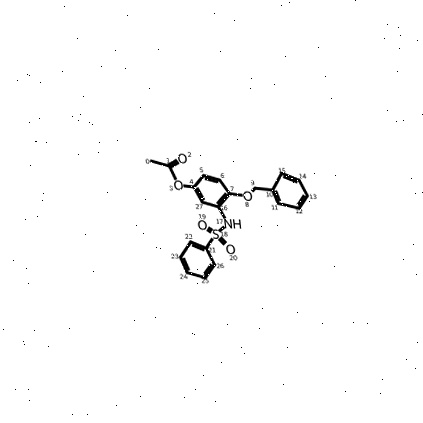 CC(=O)Oc1ccc(OCc2ccccc2)c(NS(=O)(=O)c2ccccc2)c1